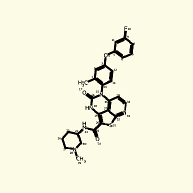 Cc1cc(Oc2cccc(F)c2)ccc1N1C(=O)Nc2c(C(=O)NC3CCCN(C)C3)sc3nccc1c23